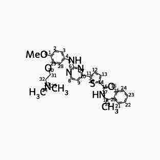 COc1ccc(Nc2nccc(-c3ccc(C(=O)NC(C)c4ccccc4)s3)n2)cc1OCCN(C)C